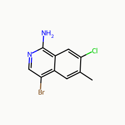 Cc1cc2c(Br)cnc(N)c2cc1Cl